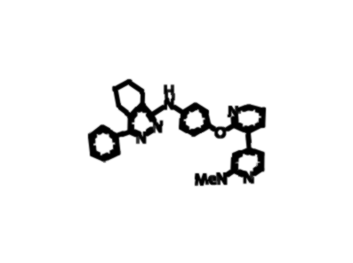 CNc1cc(-c2cccnc2Oc2ccc(Nc3nnc(-c4ccccc4)c4c3CCCC4)cc2)ccn1